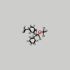 C=C(C)c1cccc([SiH](c2ccccc2)C(C)OC(C)(C)C)c1